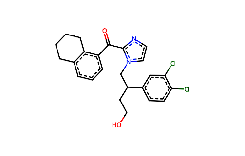 O=C(c1cccc2c1CCCC2)c1nccn1CC(CCO)c1ccc(Cl)c(Cl)c1